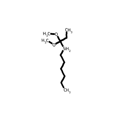 CCCCCC[SiH2]C(CC)(OC)OC